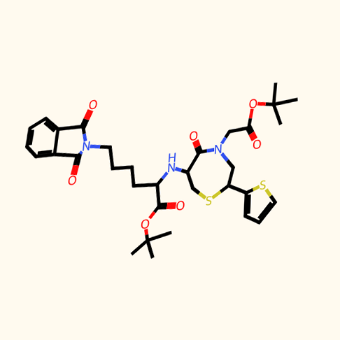 CC(C)(C)OC(=O)CN1CC(c2cccs2)SCC(NC(CCCCN2C(=O)c3ccccc3C2=O)C(=O)OC(C)(C)C)C1=O